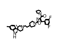 Cc1ccc2c(c1)NC[C@@]21CCN(CCC2CCN(c3nc(C(=O)N4CCCC4)c(-c4cc(F)cc(F)c4)o3)CC2)C[C@@H]1C